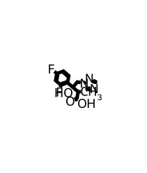 CC(C(=O)O)C(O)(Cn1cncn1)c1ccc(F)cc1F